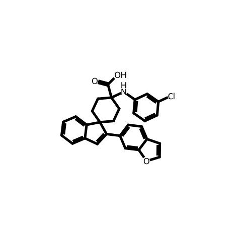 O=C(O)C1(Nc2cccc(Cl)c2)CCC2(CC1)C(c1ccc3ccoc3c1)=Cc1ccccc12